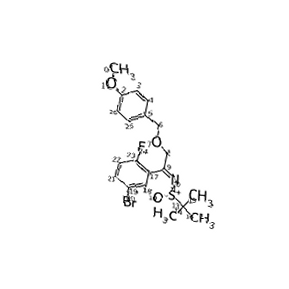 COc1ccc(COC/C(=N/[S+]([O-])C(C)(C)C)c2cc(Br)ccc2F)cc1